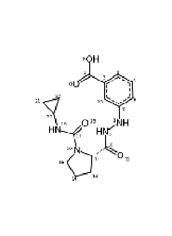 O=C(O)c1cccc(NNC(=O)[C@@H]2CCCN2C(=O)NC2CC2)c1